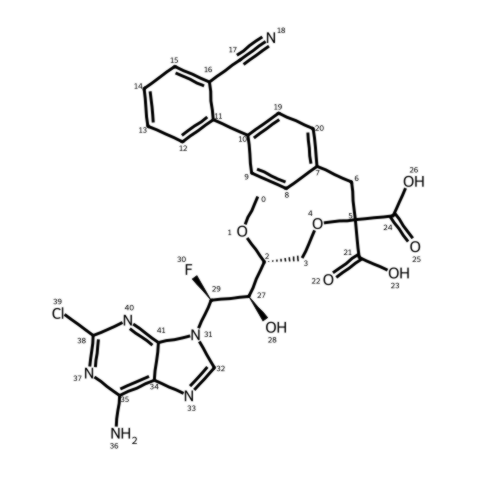 CO[C@H](COC(Cc1ccc(-c2ccccc2C#N)cc1)(C(=O)O)C(=O)O)[C@@H](O)[C@H](F)n1cnc2c(N)nc(Cl)nc21